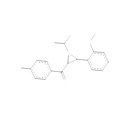 COc1ccccc1C1C(C(=O)c2ccc(Cl)cc2)N1C(C)C